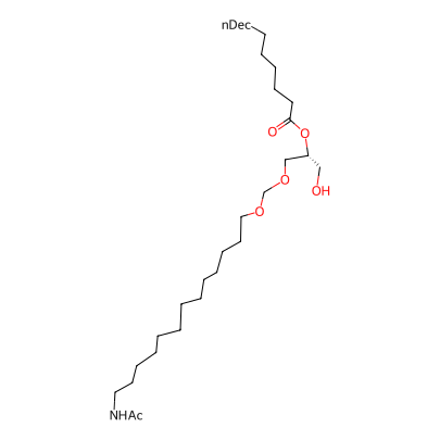 CCCCCCCCCCCCCCCC(=O)O[C@H](CO)COCOCCCCCCCCCCCCCNC(C)=O